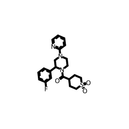 O=C(C1CCS(=O)(=O)CC1)N1CCN(c2ccccn2)CC1c1cccc(F)c1